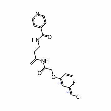 C=C/C(=C\C(F)=C\Cl)OCC(=O)NC(=C)CCNC(=O)c1ccncc1